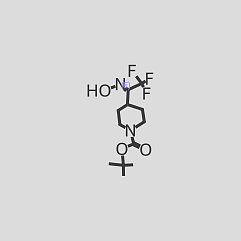 CC(C)(C)OC(=O)N1CCC(/C(=N\O)C(F)(F)F)CC1